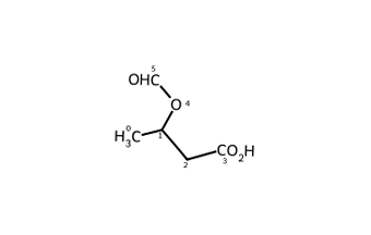 CC(CC(=O)O)OC=O